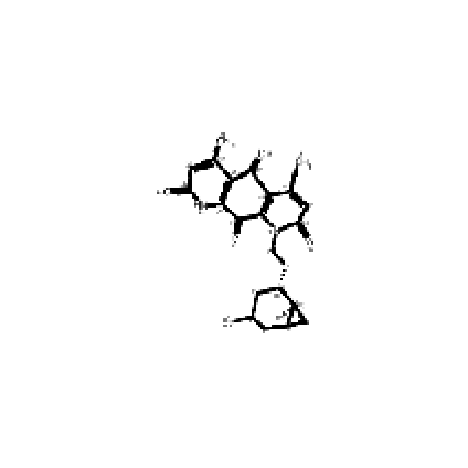 CCC1CC2C[C@H]2[C@@H](CCn2c3c(c(C)cc2=O)C(=O)c2c(C)cc(=O)[nH]c2C3=O)C1